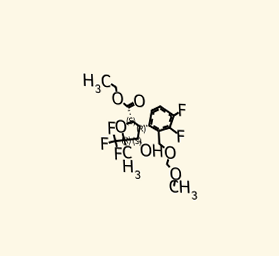 CCOC(=O)[C@H]1O[C@@](C)(C(F)(F)F)[C@@H](O)[C@H]1c1ccc(F)c(F)c1COCOC